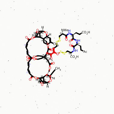 CN[C@@H](CSSCCOC(=O)O[C@@H]1C(=O)OC[C@]23CCC(C)=C[C@H]2O[C@@H]2C[C@@H](OC(=O)/C=C\C=C\C(=O)OCC[C@H]1C)[C@@]3(C)[C@]21CO1)C(=O)N[C@@H](CCC(=O)O)C(=O)N[C@@H](CCC(C)=O)C(=O)N[C@@H](CSSOC(=O)O[C@@H]1C(=O)OC[C@]23CCC(C)=C[C@H]2O[C@@H]2C[C@@H](OC(=O)/C=C\C=C\C(=O)OCC[C@H]1C)[C@@]3(C)[C@]21CO1)C(=O)O